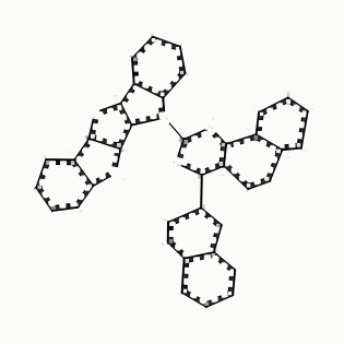 c1ccc2cc(-c3nc(-n4c5ccccc5c5sc6c7ccccc7sc6c54)nc4c3ccc3ccccc34)ccc2c1